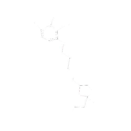 CCCc1c(OCCCSCC2COC(CC)(CCC(=O)O)O2)ccc(C(C)=O)c1O